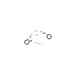 CN(C)CCCNc1nc(CN2CCN(C(=O)/C=C/c3ccccc3)CC2)nc2ccccc12